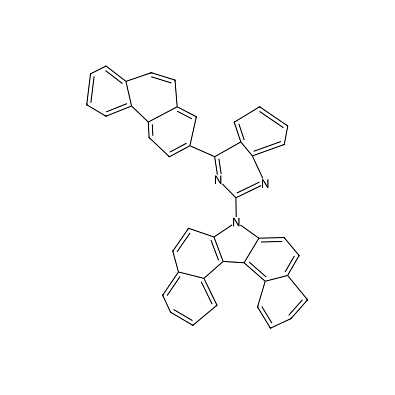 c1ccc2c(c1)ccc1cc(-c3nc(-n4c5ccc6ccccc6c5c5c6ccccc6ccc54)nc4ccccc34)ccc12